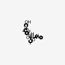 C[C@H](CC(=O)N1CCC(O)CC1)c1ccc(NC(=O)[C@@H](NC(=O)c2cnn(C3CCCC3)c2)[C@H]2CC[C@H](C)CC2)c(F)c1